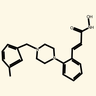 Cc1cccc(CN2CCN(c3ccccc3C=CC(=O)NO)CC2)c1